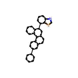 c1ccc(-c2ccc3c(ccc4cc(-c5cccc6ncsc56)c5ccccc5c43)c2)cc1